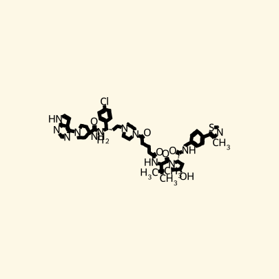 Cc1ncsc1-c1ccc(CNC(=O)[C@@H]2C[C@@H](O)CN2C(=O)C(NC(=O)CCCC(=O)N2CCN(CC[C@H](NC(=O)C3(N)CCN(c4ncnc5[nH]ccc45)CC3)c3ccc(Cl)cc3)CC2)C(C)(C)C)cc1